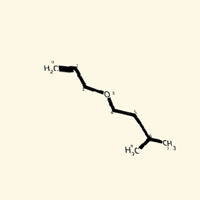 C=CCOC[CH]C(C)C